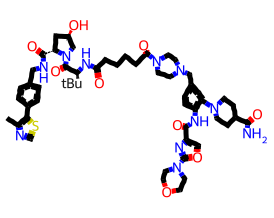 Cc1ncsc1-c1ccc(CNC(=O)[C@@H]2C[C@@H](O)CN2C(=O)[C@@H](NC(=O)CCCCC(=O)N2CCN(Cc3ccc(NC(=O)c4coc(N5CCOCC5)n4)c(N4CCC(C(N)=O)CC4)c3)CC2)C(C)(C)C)cc1